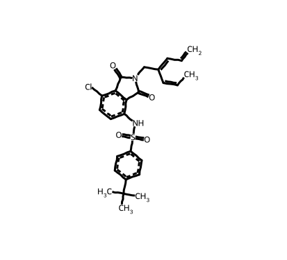 C=C/C=C(\C=C/C)CN1C(=O)c2c(Cl)ccc(NS(=O)(=O)c3ccc(C(C)(C)C)cc3)c2C1=O